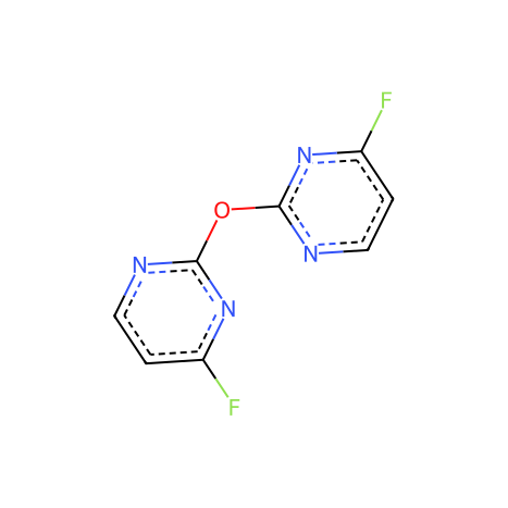 Fc1ccnc(Oc2nccc(F)n2)n1